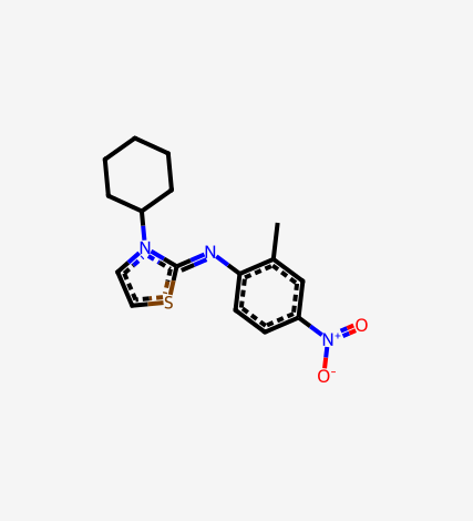 Cc1cc([N+](=O)[O-])ccc1N=c1sccn1C1CCCCC1